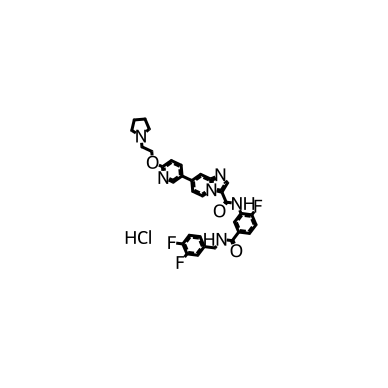 Cl.O=C(NCc1ccc(F)c(F)c1)c1ccc(F)c(NC(=O)c2cnc3cc(-c4ccc(OCCN5CCCC5)nc4)ccn23)c1